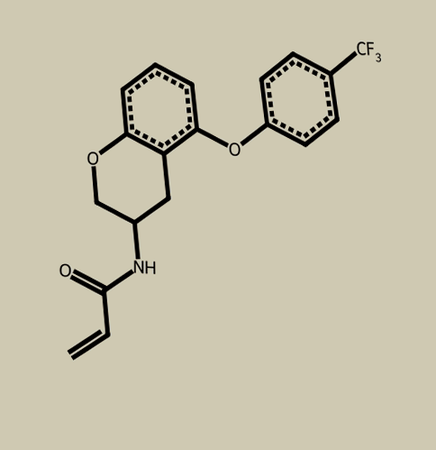 C=CC(=O)NC1COc2cccc(Oc3ccc(C(F)(F)F)cc3)c2C1